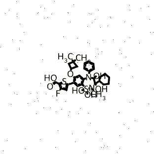 CN1C(O)(C2CCCCC2)C(O)N(c2ccccc2)c2cc(OC3CC(C)(C)C3)c(-c3cc(F)c(C(=O)O)s3)cc2S1(O)O